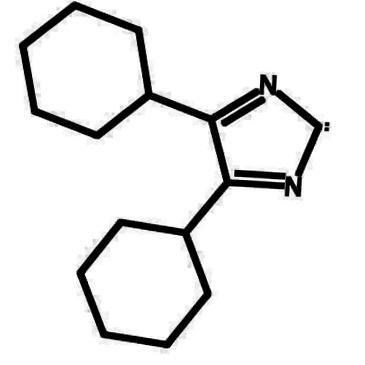 [C]1N=C(C2CCCCC2)C(C2CCCCC2)=N1